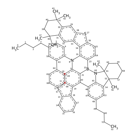 CCCCc1ccc(N2c3cc4sc5ccccc5c4c4c3B(c3ccc5sc6cc7c(cc6c5c32)C(C)(C)CCC7(C)C)N2c3c-4cc(CCCC)cc3C3(C)CCCCC23C)c(-c2ccccc2)c1